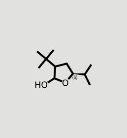 CC(C)[C@@H]1CC(C(C)(C)C)C(O)O1